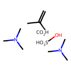 C=C(C)C(=O)O.CN(C)C.CN(C)C.O=S(=O)(O)O